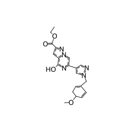 CCOC(=O)c1cc2c(O)nc(-c3cnn(CC4=CCC(OC)C=C4)c3)cn2n1